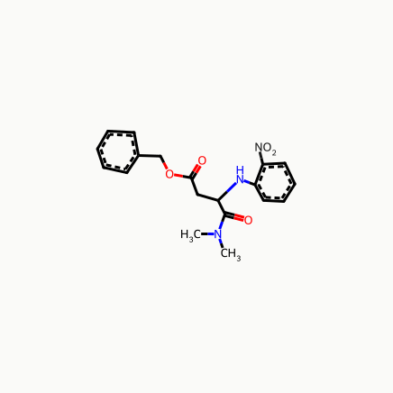 CN(C)C(=O)C(CC(=O)OCc1ccccc1)Nc1ccccc1[N+](=O)[O-]